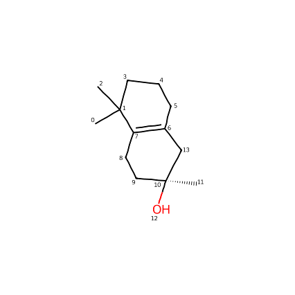 CC1(C)CCCC2=C1CC[C@](C)(O)C2